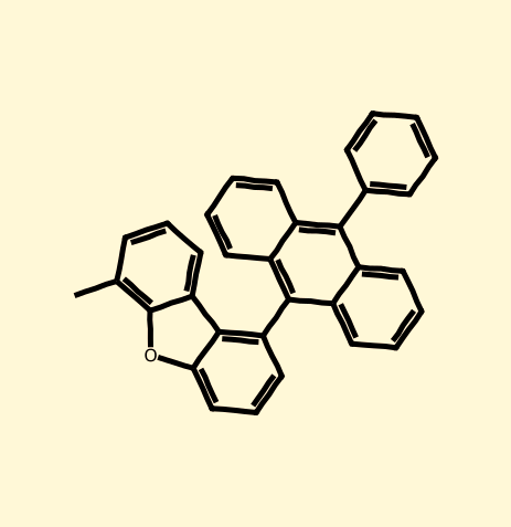 Cc1cccc2c1oc1cccc(-c3c4ccccc4c(-c4ccccc4)c4ccccc34)c12